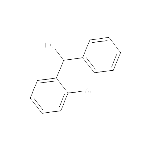 CC(=O)c1ccccc1C(C)c1ccccc1